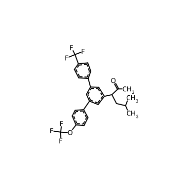 CC(=O)C(CC(C)C)c1cc(-c2ccc(OC(F)(F)F)cc2)cc(-c2ccc(C(F)(F)F)cc2)c1